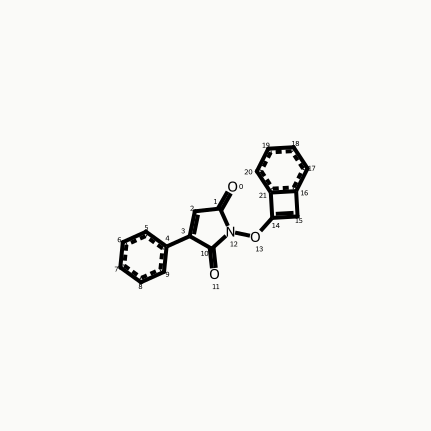 O=C1C=C(c2ccccc2)C(=O)N1OC1=Cc2ccccc21